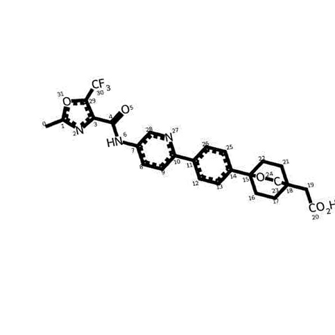 Cc1nc(C(=O)Nc2ccc(-c3ccc(C45CCC(CC(=O)O)(CC4)CO5)cc3)nc2)c(C(F)(F)F)o1